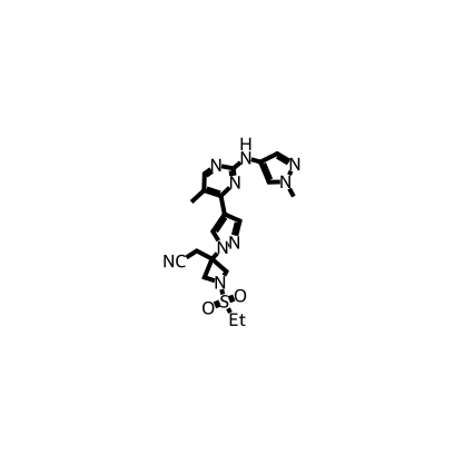 CCS(=O)(=O)N1CC(CC#N)(n2cc(-c3nc(Nc4cnn(C)c4)ncc3C)cn2)C1